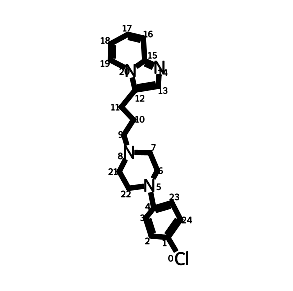 Clc1ccc(N2CCN(CCCc3cnc4ccccn34)CC2)cc1